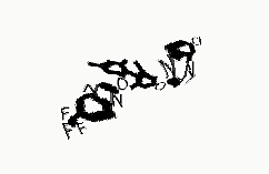 Cc1[c]c(C)c(-c2c(C)cc(Oc3cnc4cc(Cl)ccc4n3)cc2C)c(Oc2cnc3cc(C(F)(F)F)ccc3n2)c1